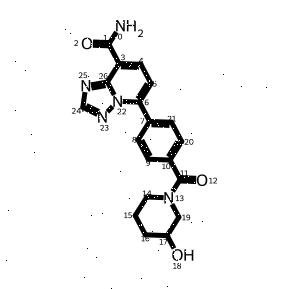 NC(=O)c1ccc(-c2ccc(C(=O)N3CCCC(O)C3)cc2)n2n[c]nc12